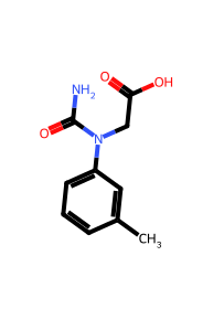 Cc1cccc(N(CC(=O)O)C(N)=O)c1